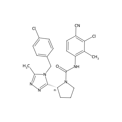 Cc1c(NC(=O)N2CCC[C@@H]2c2nnc(C)n2Cc2ccc(Cl)cc2)ccc(C#N)c1Cl